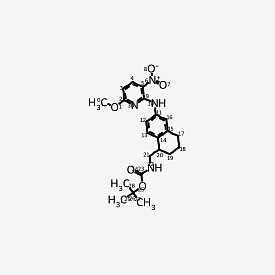 COc1ccc([N+](=O)[O-])c(Nc2ccc3c(c2)CCCC3CNC(=O)OC(C)(C)C)n1